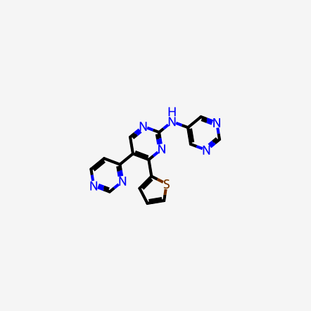 c1csc(-c2nc(Nc3cncnc3)ncc2-c2ccncn2)c1